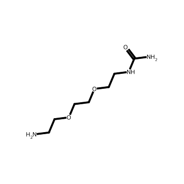 NCCOCCOCCNC(N)=O